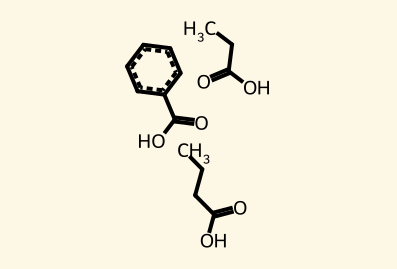 CCC(=O)O.CCCC(=O)O.O=C(O)c1ccccc1